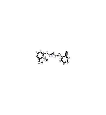 Oc1cccc(C/C=C/COc2ccccc2Br)c1Br